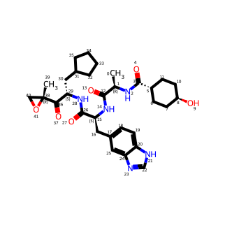 C[C@@H](NC(=O)[C@H]1CC[C@H](O)CC1)C(=O)N[C@@H](Cc1ccc2[nH]cnc2c1)C(=O)N[C@@H](CC1CCCC1)C(=O)[C@@]1(C)CO1